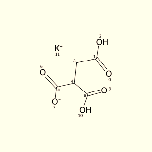 O=C(O)CC(C(=O)[O-])C(=O)O.[K+]